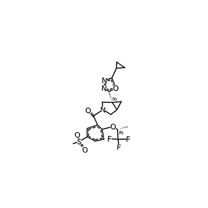 C[C@@H](Oc1ccc(S(C)(=O)=O)cc1C(=O)N1CC2C[C@]2(c2nnc(C3CC3)o2)C1)C(F)(F)F